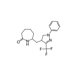 O=C1CCCCC(CC2CN(c3ccccc3)N=C2C(F)(F)F)N1